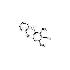 Nc1cc(Oc2ccccc2)c(N)c(N)c1N